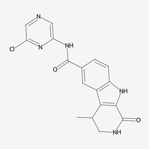 CC1CNC(=O)c2[nH]c3ccc(C(=O)Nc4cncc(Cl)n4)cc3c21